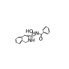 O=C(NC[C@@H](O)[C@@H]1Cc2ccccc2CN1)c1ccccc1